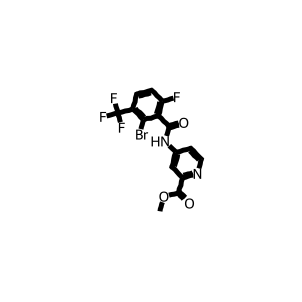 COC(=O)c1cc(NC(=O)c2c(F)ccc(C(F)(F)F)c2Br)ccn1